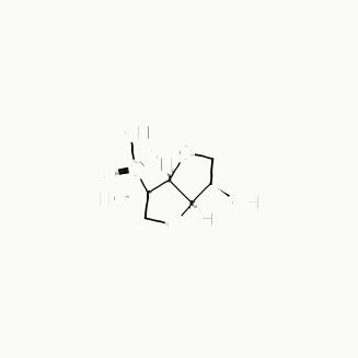 CS(=O)(=O)[C@]1(O)CO[C@@H]2[C@H](O)CO[C@@H]21